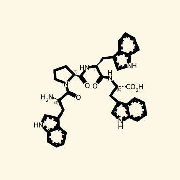 N[C@@H](Cc1c[nH]c2ccccc12)C(=O)N1CCC[C@H]1C(=O)N[C@@H](Cc1c[nH]c2ccccc12)C(=O)N[C@@H](Cc1c[nH]c2ccccc12)C(=O)O